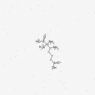 NC(CCCC(=O)O)C(N)(N)C(=O)O